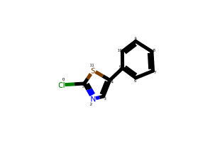 Clc1ncc(-c2ccccc2)s1